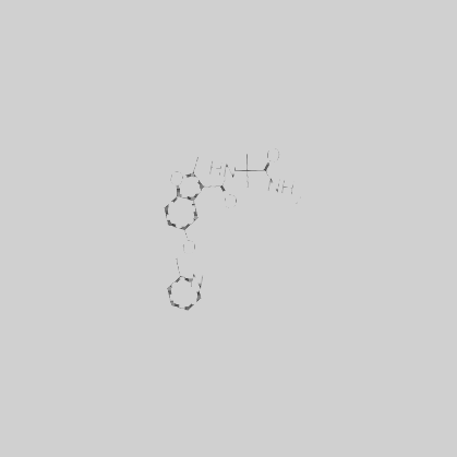 Cc1oc2ccc(OCc3ccccn3)cc2c1C(=O)NC(C)(C)C(N)=O